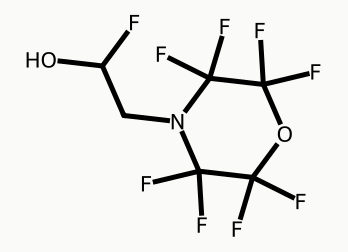 OC(F)CN1C(F)(F)C(F)(F)OC(F)(F)C1(F)F